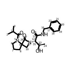 CC(C)C(=O)N1CCCC12CN([C@H](C(=O)NCc1ccccc1)[C@@H](C)O)C2=O